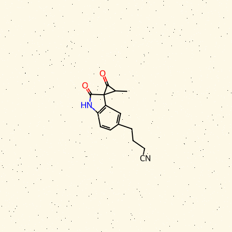 CC1C(=O)C12C(=O)Nc1ccc(CCCC#N)cc12